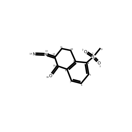 CS(=O)(=O)c1cccc2c1CCC(=[N+]=[N-])C2=O